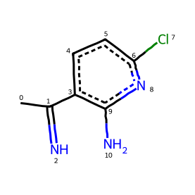 CC(=N)c1ccc(Cl)nc1N